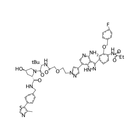 CCS(=O)(=O)Nc1ccc(-c2n[nH]c3c(-c4cnn(CCOCC(=O)N[C@H](C(=O)N5C[C@H](O)C[C@H]5C(=O)NCc5ccc(-c6scnc6C)cc5)C(C)(C)C)c4)cnc(N)c23)cc1OCc1ccc(F)cc1